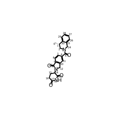 C[C@H]1CN(C(=O)c2ccc3c(c2)CN(C2CCC(=O)NC2=O)C3=O)Cc2ccccc21